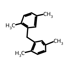 Cc1ccc(C)c(Cc2cc(C)ccc2C)c1